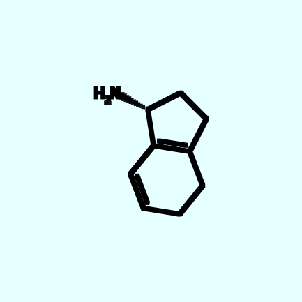 N[C@@H]1CCC2=C1C=CCC2